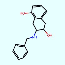 Oc1cccc2c1CC(NCc1ccccc1)C(O)C2